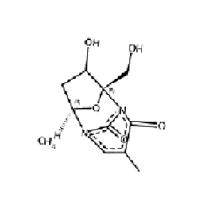 C.Cc1cn2c(=O)n(c1=O)[C@]1(CO)O[C@@H]2CC1O